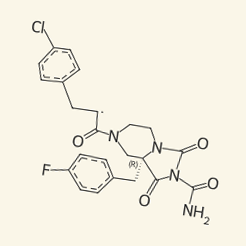 NC(=O)N1C(=O)N2CCN(C(=O)[CH]Cc3ccc(Cl)cc3)C[C@]2(Cc2ccc(F)cc2)C1=O